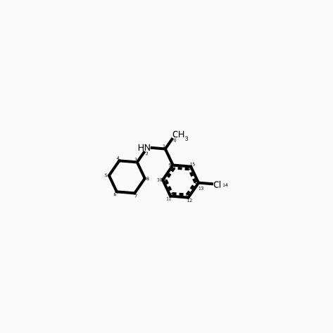 CC(NC1CCCCC1)c1cccc(Cl)c1